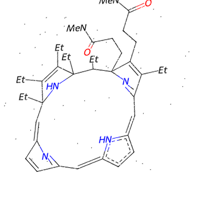 CCC1=C(CCC(=O)NC)C2(CCC(=O)NC)N=C1C=c1ccc([nH]1)=CC1=NC(=CC3(CC)NC(CC)(C(CC)=C3CC)C2CC)C=C1